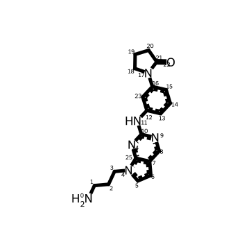 NCCCn1ccc2cnc(Nc3cccc(N4CCCC4=O)c3)nc21